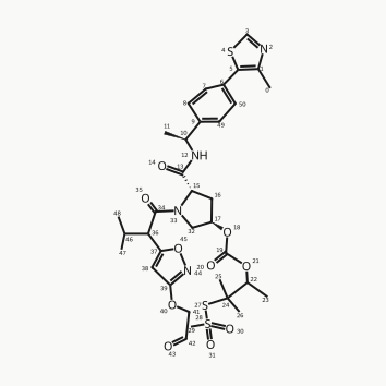 Cc1ncsc1-c1ccc([C@H](C)NC(=O)[C@@H]2C[C@@H](OC(=O)OC(C)C(C)(C)SS(C)(=O)=O)CN2C(=O)C(c2cc(OCC=O)no2)C(C)C)cc1